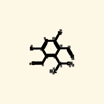 CN(C)c1c(C=O)c(Br)nc(Br)c1C=O